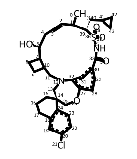 CC1/C=C\C[C@H](O)C2CCC2CN2C[C@@]3(CCCc4cc(Cl)ccc43)COc3ccc(cc32)C(=O)NS(=O)(=O)[C@H]1CC1CC1